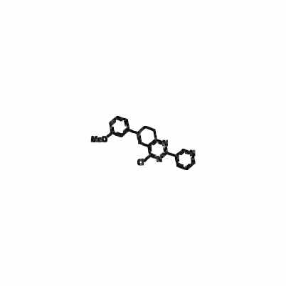 COc1cccc(C2=Cc3c(Cl)nc(-c4cccnc4)nc3CC2)c1